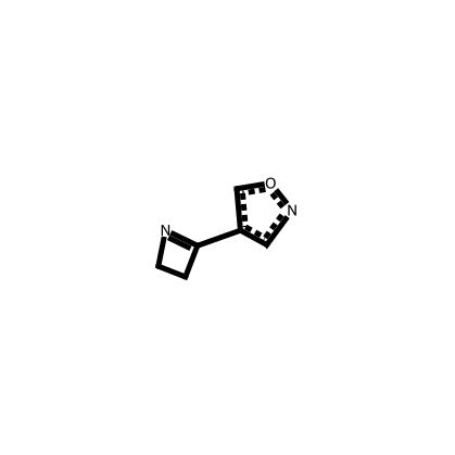 [c]1nocc1C1=NCC1